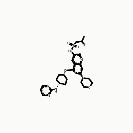 CC(F)CS(=O)(=O)Nc1cnc2cc(N3CCOCC3)nc(O[C@H]3CC[C@@H](Nc4ncccn4)CC3)c2c1